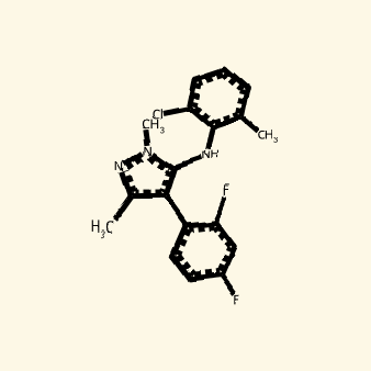 Cc1cccc(Cl)c1Nc1c(-c2ccc(F)cc2F)c(C)nn1C